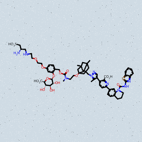 Cc1c(-c2ccc(-c3ccc4c(c3)N(C(=O)Nc3nc5ccccc5s3)CCC4)nc2C(=O)O)cnn1CC12CC3(C)CC(C)(C1)CC(OCCN(C)C(=O)OCc1ccc(OCCOCCNC[C@@H](N)CS(=O)(=O)O)cc1O[C@@H]1O[C@H](C(=O)O)[C@@H](O)[C@H](O)[C@H]1O)(C3)C2